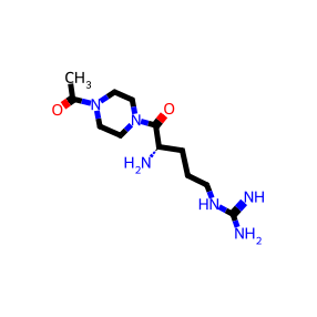 CC(=O)N1CCN(C(=O)[C@@H](N)CCCNC(=N)N)CC1